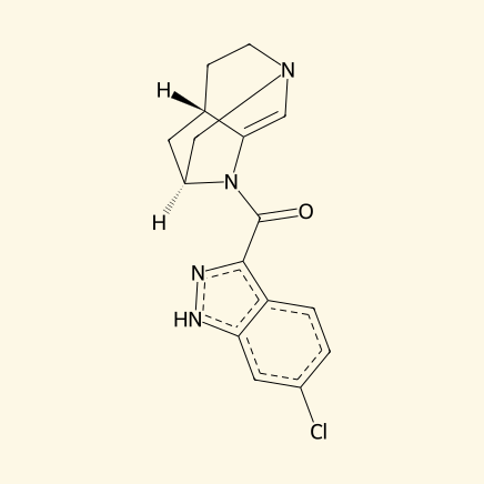 O=C(c1n[nH]c2cc(Cl)ccc12)N1C2=CN3CC[C@H]2C[C@H]1C3